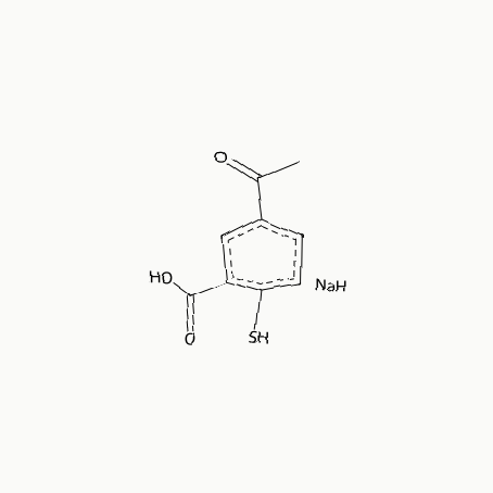 CC(=O)c1ccc(S)c(C(=O)O)c1.[NaH]